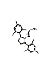 CS/C=C(\C)C1N(c2c(C)cc(C)cc2C)CCN1c1c(C)cc(C)cc1C